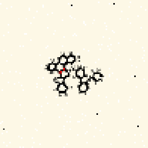 c1ccc(-n2c3ccccc3c3cc(N(c4ccc5oc6ccccc6c5c4)c4cccc5ccc6c7ccccc7ccc6c45)ccc32)cc1